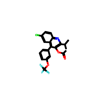 CC(=O)Oc1c(C(C)C)nc2ccc(Cl)cc2c1-c1cccc(OC(F)(F)F)c1